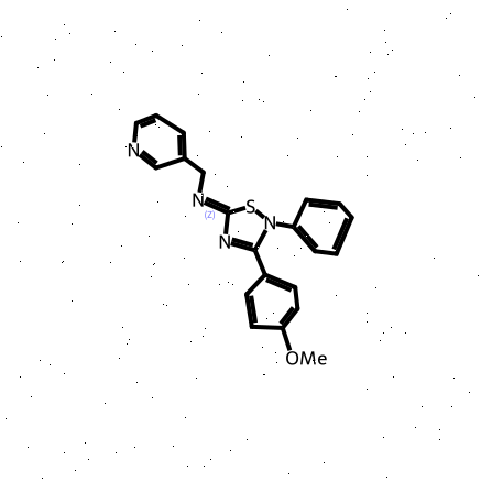 COc1ccc(-c2n/c(=N/Cc3cccnc3)sn2-c2ccccc2)cc1